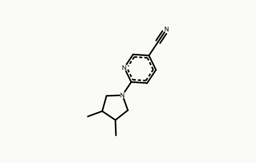 CC1CN(c2ccc(C#N)cn2)CC1C